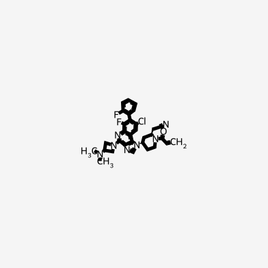 C=CC(=O)N1CC[C@H](n2cnc3c(N4CC(N(C)C)C4)nc4c(F)c(-c5ccccc5F)c(Cl)cc4c32)C[C@H]1CC#N